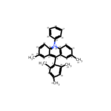 Cc1cc(C)c(-c2c3cc(C)ccc3[n+](-c3ccccc3)c3ccc(C)cc23)c(C)c1